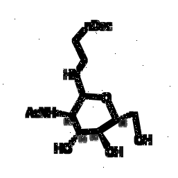 CCCCCCCCCCCCNC1O[C@H](CO)[C@@H](O)[C@H](O)[C@H]1NC(C)=O